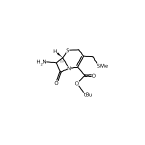 CSCC1=C(C(=O)OC(C)(C)C)N2C(=O)C(N)[C@@H]2SC1